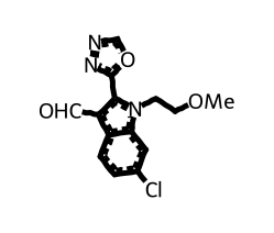 COCCn1c(-c2nnco2)c(C=O)c2ccc(Cl)cc21